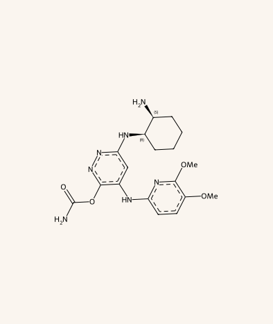 COc1ccc(Nc2cc(N[C@@H]3CCCC[C@@H]3N)nnc2OC(N)=O)nc1OC